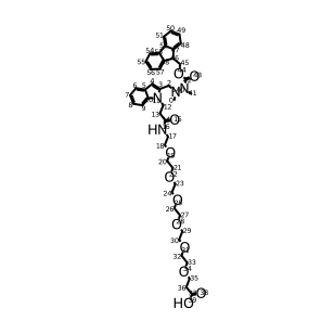 CN(Cc1cc2ccccc2n1CCC(=O)NCCOCCOCCOCCOCCOCCOCCC(=O)O)N(C)C(=O)OCC1c2ccccc2-c2ccccc21